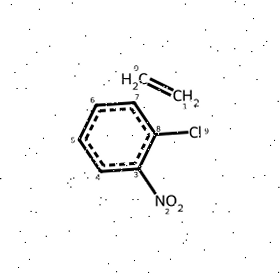 C=C.O=[N+]([O-])c1ccccc1Cl